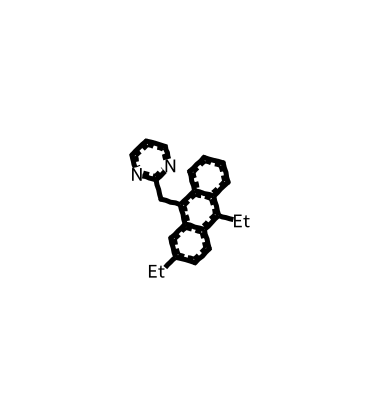 CCc1ccc2c(CC)c3ccccc3c(Cc3ncccn3)c2c1